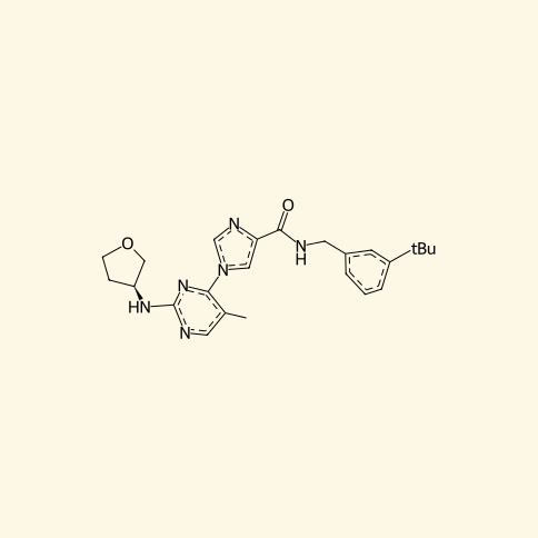 Cc1cnc(N[C@H]2CCOC2)nc1-n1cnc(C(=O)NCc2cccc(C(C)(C)C)c2)c1